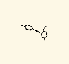 COc1ccc(C)nc1C#Cc1ccc(C)nc1